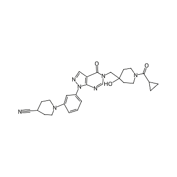 N#CC1CCN(c2cccc(-n3ncc4c(=O)n(CC5(O)CCN(C(=O)C6CC6)CC5)cnc43)c2)CC1